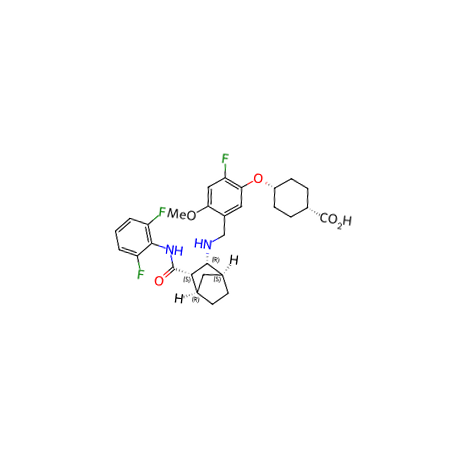 COc1cc(F)c(O[C@H]2CC[C@@H](C(=O)O)CC2)cc1CN[C@@H]1[C@H]2CC[C@H](C2)[C@@H]1C(=O)Nc1c(F)cccc1F